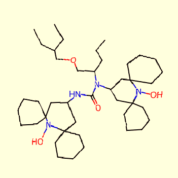 CCCC(COCC(CC)CC)N(C(=O)NC1CC2(CCCCC2)N(O)C2(CCCCC2)C1)C1CC2(CCCCC2)N(O)C2(CCCCC2)C1